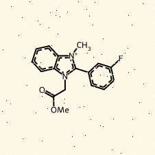 COC(=O)Cn1c(-c2cccc(F)c2)[n+](C)c2ccccc21